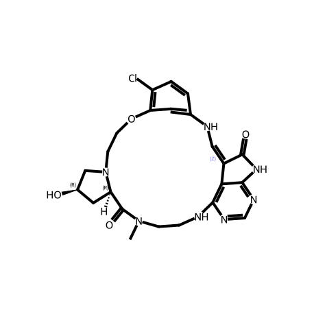 CN1CCNc2ncnc3c2/C(=C/Nc2ccc(Cl)c(c2)OCCN2C[C@H](O)C[C@@H]2C1=O)C(=O)N3